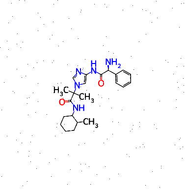 CC1CCCCC1NC(=O)C(C)(C)n1cnc(NC(=O)[C@@H](N)c2ccccc2)c1